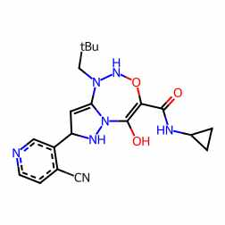 CC(C)(C)CN1NOC(C(=O)NC2CC2)=C(O)N2NC(c3cnccc3C#N)C=C12